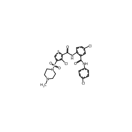 CN1CCN(S(=O)(=O)c2csc(C(=O)Nc3ccc(Cl)cc3C(=O)Nc3ccc(Cl)cc3)c2Cl)CC1